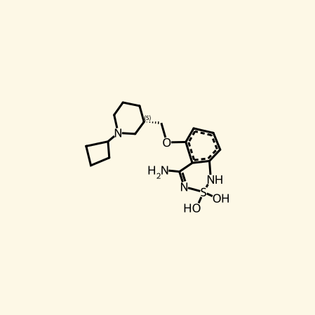 NC1=NS(O)(O)Nc2cccc(OC[C@H]3CCCN(C4CCC4)C3)c21